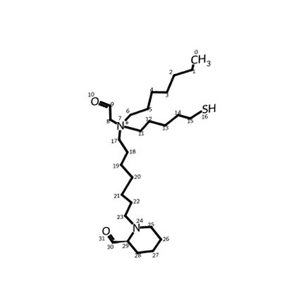 CCCCCCC[N+](CC=O)(CCCCCS)CCCCCCCN1CCCC[C@H]1C=O